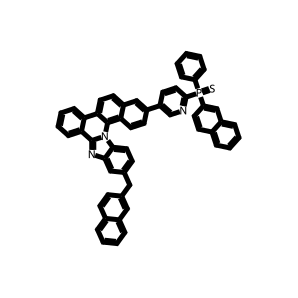 S=P(c1ccccc1)(c1ccc2ccccc2c1)c1ccc(-c2ccc3c(ccc4c5ccccc5c5nc6cc(Cc7ccc8ccccc8c7)ccc6n5c34)c2)cn1